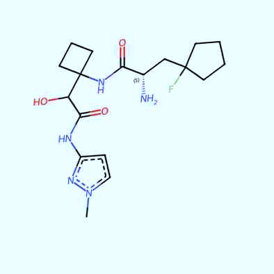 Cn1ccc(NC(=O)C(O)C2(NC(=O)[C@@H](N)CC3(F)CCCC3)CCC2)n1